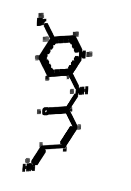 N=C/C=C\C(=O)Nc1ccc(Br)cn1